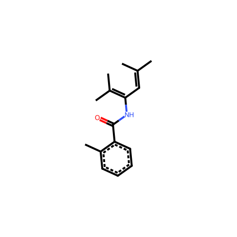 CC(C)=CC(NC(=O)c1ccccc1C)=C(C)C